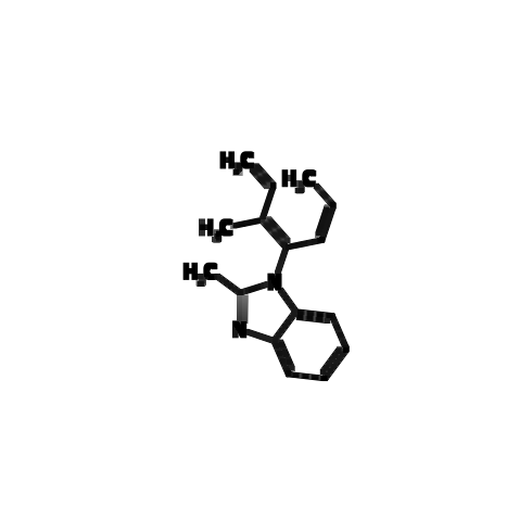 C=C/C(C)=C(\C=C/C)n1c(C)nc2ccccc21